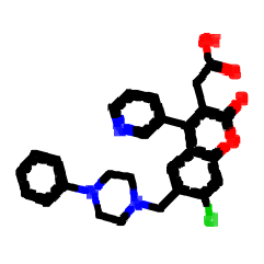 O=C(O)Cc1c(-c2cccnc2)c2cc(CN3CCN(c4ccccc4)CC3)c(Cl)cc2oc1=O